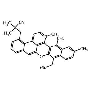 Cc1ccc2c(CC(C)(C)C)c3c(c(C)c2c1)-c1c2c(cc4cccc(CC(C)(C)C#N)c4c2cc[n+]1C)O3